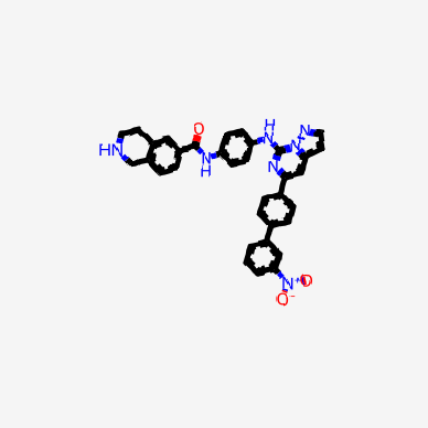 O=C(Nc1ccc(Nc2nc(-c3ccc(-c4cccc([N+](=O)[O-])c4)cc3)cc3ccnn23)cc1)c1ccc2c(c1)CCNC2